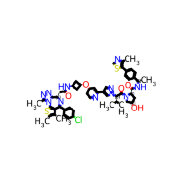 Cc1ncsc1-c1ccc([C@H](C)NC(=O)[C@@H]2C[C@@H](O)CN2C(=O)[C@H](C(C)C)n2cc(C3=CC(O[C@H]4C[C@H](NC(=O)C[C@@H]5N=C(c6ccc(Cl)cc6)c6c(sc(C)c6C)-n6c(C)nnc65)C4)CC=N3)cn2)cc1